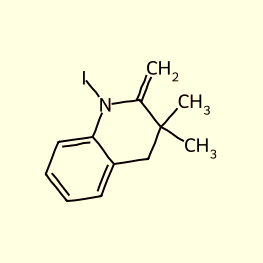 C=C1N(I)c2ccccc2CC1(C)C